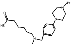 CC(C)N1CCN(c2ccc(CN(C)CCCCCC(=O)S)cc2)CC1